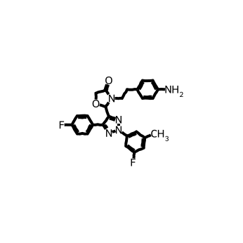 Cc1cc(F)cc(-n2nc(-c3ccc(F)cc3)c(C3OCC(=O)N3CCc3ccc(N)cc3)n2)c1